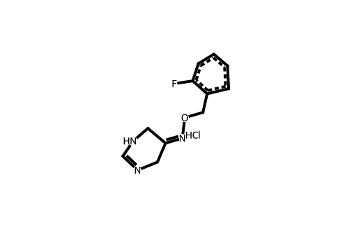 Cl.Fc1ccccc1CO/N=C1/CN=CNC1